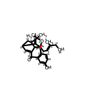 C/C(=C\CC12OC(C)(C)C3CC(C=C4C(=O)c5cc(O)ccc5OC431)C2=O)CO